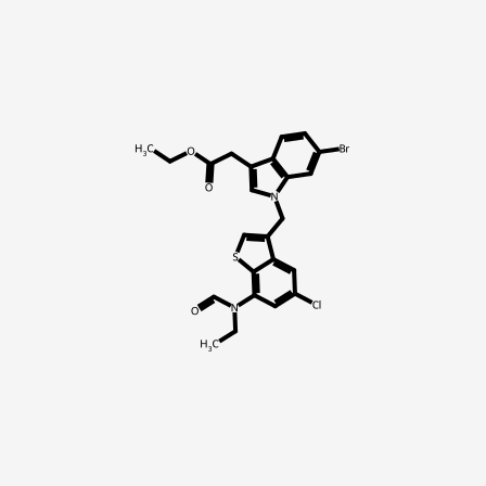 CCOC(=O)Cc1cn(Cc2csc3c(N(C=O)CC)cc(Cl)cc23)c2cc(Br)ccc12